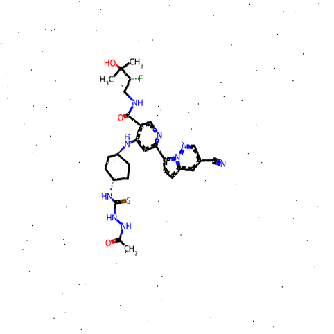 CC(=O)NNC(=S)N[C@H]1CC[C@H](Nc2cc(-c3ccc4cc(C#N)cnn34)ncc2C(=O)NC[C@@H](F)C(C)(C)O)CC1